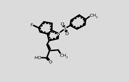 CC/C(=C\c1cn(S(=O)(=O)c2ccc(C)cc2)c2ccc(F)cc12)C(=O)O